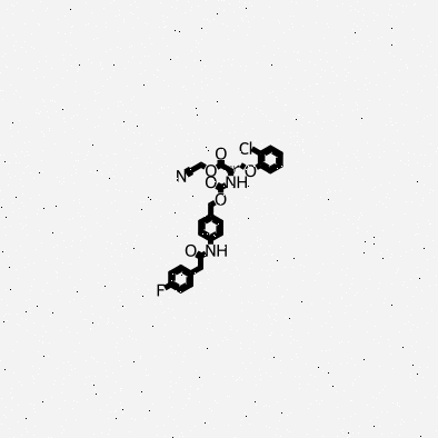 N#CCOC(=O)[C@H](COc1ccccc1Cl)NC(=O)OCc1ccc(NC(=O)Cc2ccc(F)cc2)cc1